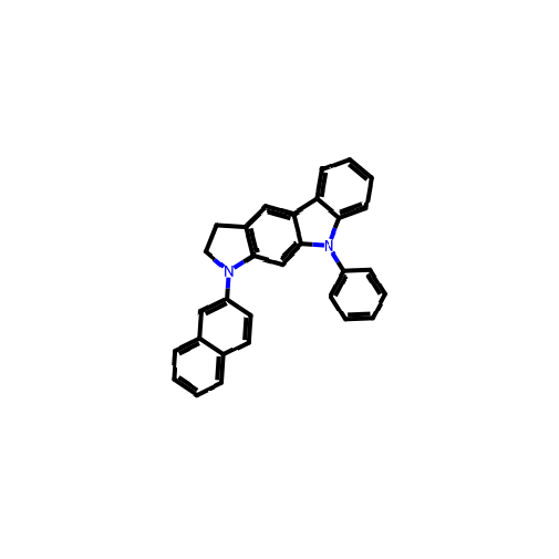 c1ccc(-n2c3ccccc3c3cc4c(cc32)N(c2ccc3ccccc3c2)CC4)cc1